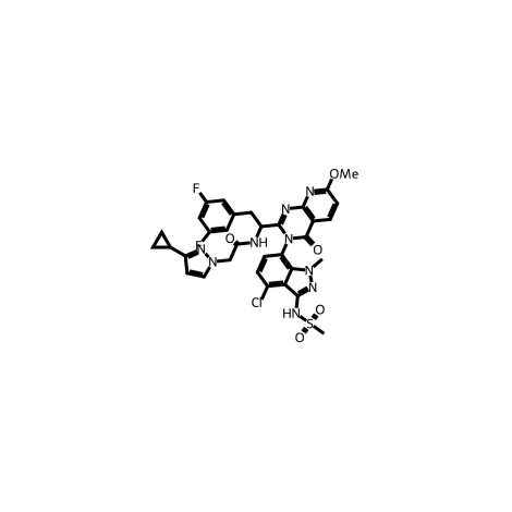 COc1ccc2c(=O)n(-c3ccc(Cl)c4c(NS(C)(=O)=O)nn(C)c34)c(C(Cc3cc(F)cc(F)c3)NC(=O)Cn3ccc(C4CC4)n3)nc2n1